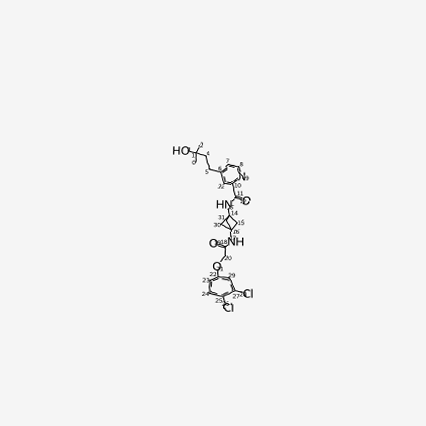 CC(C)(O)CCc1ccnc(C(=O)NC23CC(NC(=O)COc4ccc(Cl)c(Cl)c4)(C2)C3)c1